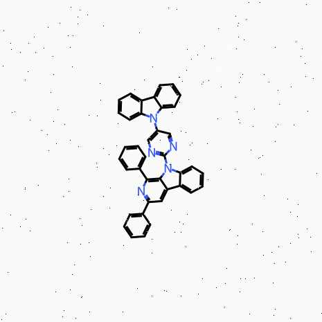 c1ccc(-c2cc3c4ccccc4n(-c4ncc(-n5c6ccccc6c6ccccc65)cn4)c3c(-c3ccccc3)n2)cc1